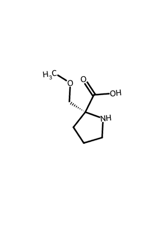 COC[C@@]1(C(=O)O)CCCN1